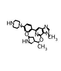 C[C@@H](Oc1nc(-c2ccc(N3CCNCC3)cc2)cc2ncn(C)c12)[C@H]1CNC(=O)C1